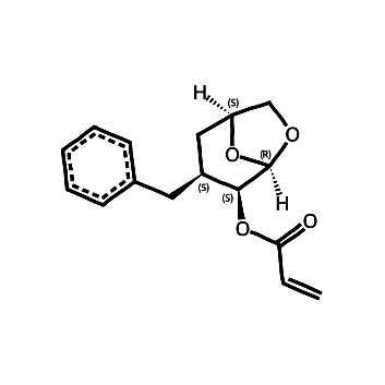 C=CC(=O)O[C@H]1[C@@H](Cc2ccccc2)C[C@H]2CO[C@@H]1O2